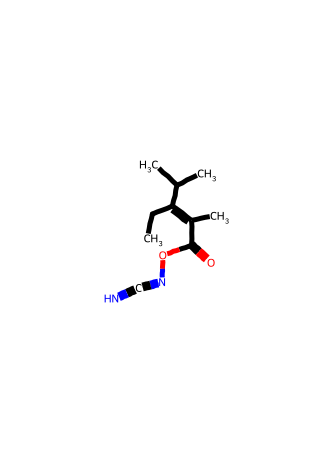 CCC(=C(C)C(=O)ON=C=N)C(C)C